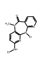 CCNc1ccc2c(n1)N(CC)c1ncccc1C(=O)N2C